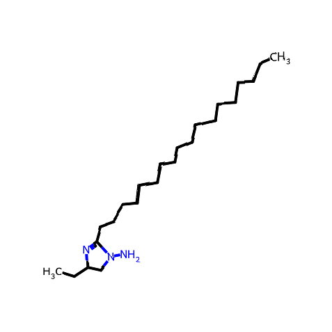 CCCCCCCCCCCCCCCCCCC1=NC(CC)CN1N